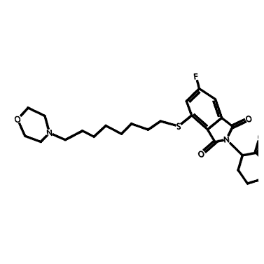 O=C1CCC(N2C(=O)c3cc(F)cc(SCCCCCCCCN4CCOCC4)c3C2=O)C(=O)N1